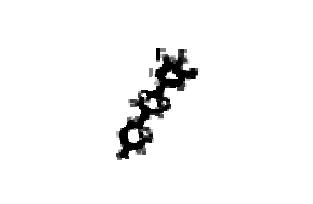 CC1CCC(C2COC(c3cc(F)c(F)c(F)c3)OC2)OC1